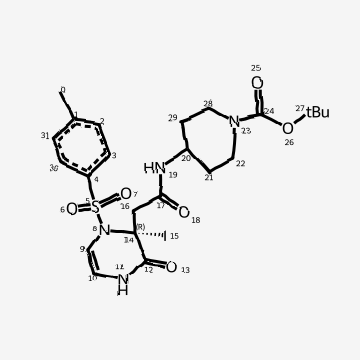 Cc1ccc(S(=O)(=O)N2C=CNC(=O)[C@]2(I)CC(=O)NC2CCN(C(=O)OC(C)(C)C)CC2)cc1